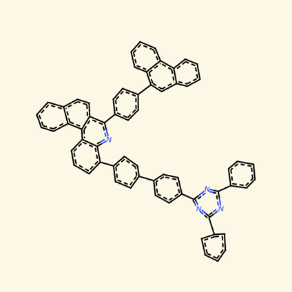 c1ccc(-c2nc(-c3ccccc3)nc(-c3ccc(-c4ccc(-c5cccc6c5nc(-c5ccc(-c7cc8ccccc8c8ccccc78)cc5)c5ccc7ccccc7c56)cc4)cc3)n2)cc1